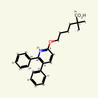 CC(C)(CCCCOc1ccc(-c2ccccc2)c(-c2ccccc2)n1)C(=O)O